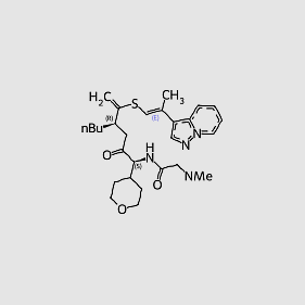 C=C(S/C=C(\C)c1cnn2ccccc12)[C@H](CCCC)CC(=O)[C@@H](NC(=O)CNC)C1CCOCC1